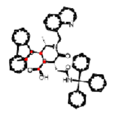 CCOC(OCC)[C@H](C)N(Cc1cccc2cccnc12)C(=O)[C@H](CC(=O)NC(c1ccccc1)(c1ccccc1)c1ccccc1)N(CC1c2ccccc2-c2ccccc21)C(=O)O